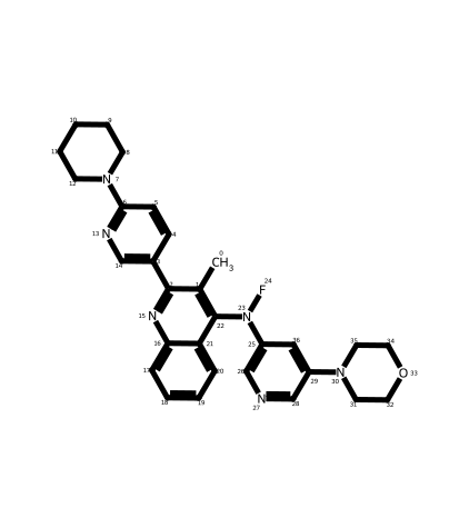 Cc1c(-c2ccc(N3CCCCC3)nc2)nc2ccccc2c1N(F)c1cncc(N2CCOCC2)c1